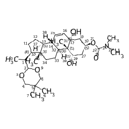 CC(C1OCC(C)(C)CO1)[C@H]1CC[C@H]2[C@@H]3C=C[C@@]4(O)C[C@@H](OC(=O)N(C)C)C[C@H](O)[C@]4(C)[C@H]3CC[C@]12C